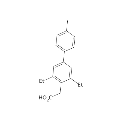 CCc1cc(-c2ccc(C)cc2)cc(CC)c1CC(=O)O